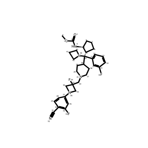 COC(=O)N[C@H]1CCC[C@@H]1C(c1cccc(F)c1)(C1CCN(CC2(F)CN(c3ccc(C#N)c(F)c3)C2)CC1)N1CCC1